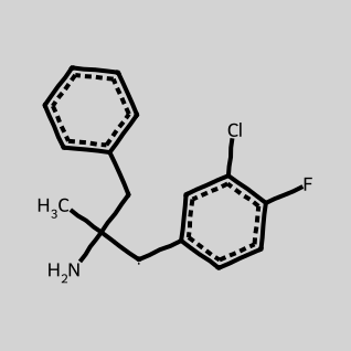 CC(N)([CH]c1ccc(F)c(Cl)c1)Cc1ccccc1